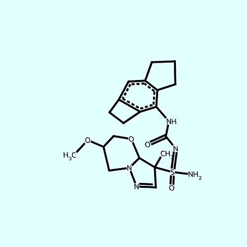 COC1COC2N(C1)N=CC2(C)S(N)(=O)=NC(=O)Nc1c2c(cc3c1CC3)CCC2